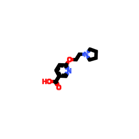 O=C(O)c1ccc(OCCN2CCCC2)nc1